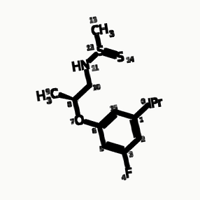 CC(C)c1cc(F)cc(O[C@@H](C)CNS(C)=S)c1